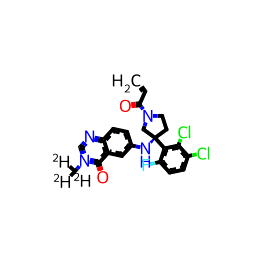 [2H]C([2H])([2H])n1cnc2ccc(N[C@]3(c4c(F)ccc(Cl)c4Cl)CCN(C(=O)C=C)C3)cc2c1=O